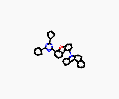 C1=CCC(c2nc(-c3ccccc3)nc(-c3cccc4c3oc3cccc(-n5c6ccccc6c6c7ccccc7ccc65)c34)n2)C=C1